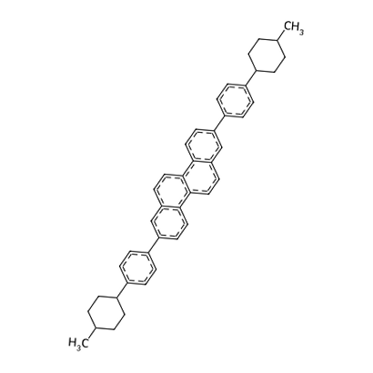 CC1CCC(c2ccc(-c3ccc4c(ccc5c6ccc(-c7ccc(C8CCC(C)CC8)cc7)cc6ccc45)c3)cc2)CC1